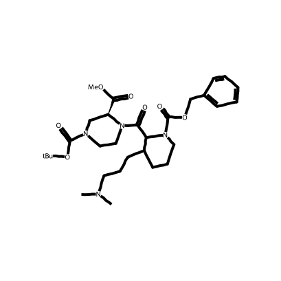 COC(=O)[C@@H]1CN(C(=O)OC(C)(C)C)CCN1C(=O)C1C(CCCN(C)C)CCCN1C(=O)OCc1ccccc1